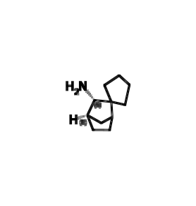 N[C@H]1[C@@H]2CCC(C2)C12CCCC2